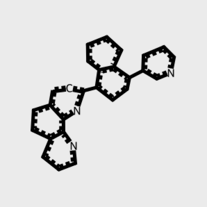 c1cncc(-c2ccc(-c3ccc4ccc5cccnc5c4n3)c3ccccc23)c1